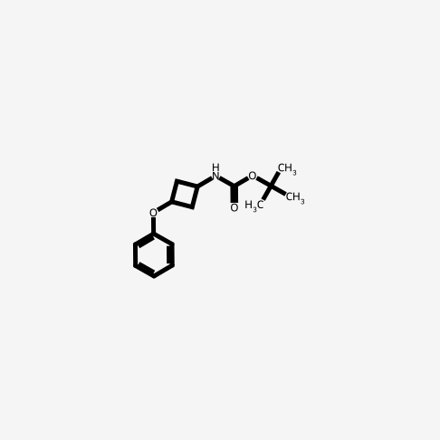 CC(C)(C)OC(=O)NC1CC(Oc2ccccc2)C1